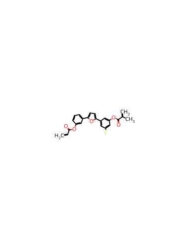 C=CC(=O)Oc1cccc(-c2ccc(-c3cc(F)cc(OC(=O)C(=C)C)c3)o2)c1